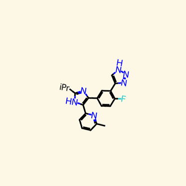 Cc1cccc(-c2[nH]c(C(C)C)nc2-c2ccc(F)c(-c3c[nH]nn3)c2)n1